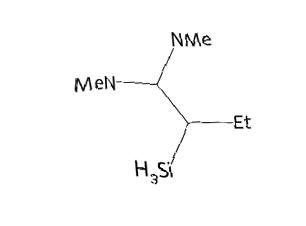 CCC([SiH3])C(NC)NC